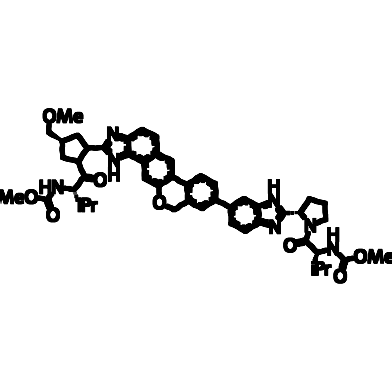 COC[C@@H]1CC(C(=O)[C@@H](NC(=O)OC)C(C)C)C(c2nc3ccc4cc5c(cc4c3[nH]2)OCc2cc(-c3ccc4nc([C@@H]6CCCN6C(=O)[C@@H](NC(=O)OC)C(C)C)[nH]c4c3)ccc2-5)C1